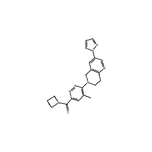 Cc1cc(C(=O)N2CCC2)nnc1N1CCc2ncc(-n3cccn3)cc2C1